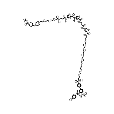 CC(=O)N1c2ccc(-c3ccc(C(=O)NCCOCCOCCOCCOCCOCCOCCOCCOCCNC(=O)c4nc(NC(=O)CCNC(=O)c5cc(NC(=O)c6nc(NC(=O)CCNC(=O)COCCOCCOCCN7CCN(CC8CCN(C(=O)OC(C)(C)C)CC8)CC7)cn6C)cn5C)cn4C)cc3)cc2[C@H](Nc2ccc(Cl)cc2)C[C@@H]1C